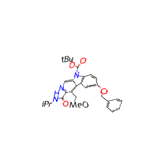 COCc1c(C(=O)NC(C)C)ncc2c1c1cc(OCc3ccccc3)ccc1n2C(=O)OC(C)(C)C